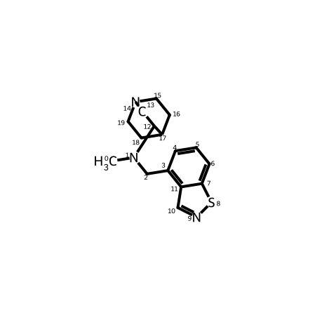 CN(Cc1cccc2sncc12)C1CN2CCC1CC2